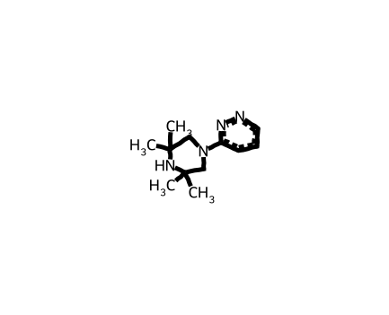 CC1(C)CN(c2cccnn2)CC(C)(C)N1